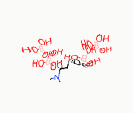 CCCCCCCCCCCCN(C)C.OB(O)O.OB(O)O.OB(O)O.OB(O)O